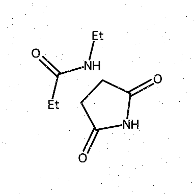 CCNC(=O)CC.O=C1CCC(=O)N1